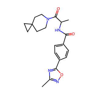 Cc1noc(-c2ccc(C(=O)NC(C)C(=O)N3CCC4(CC3)CC4)cc2)n1